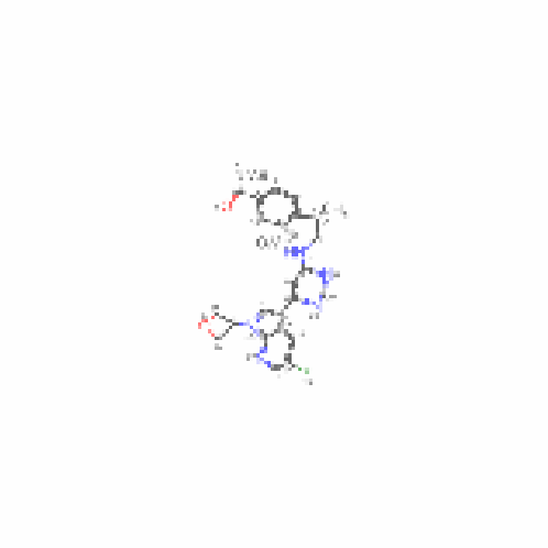 CNC(=O)c1ccc([C@H](C)CNc2cc(-c3cn(C4COC4)c4ncc(F)cc34)ncn2)c(OC)c1